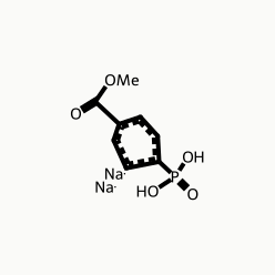 COC(=O)c1ccc(P(=O)(O)O)cc1.[Na].[Na]